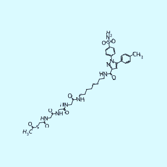 CC(=O)SCC(=O)NCC(=O)NCC(=O)NCC(=O)NCCCCCCCCNC(=O)c1cc(-c2ccc(C)cc2)n(-c2ccc(S(N)(=O)=O)cc2)n1